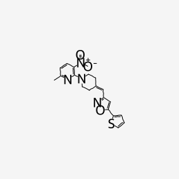 Cc1ccc([N+](=O)[O-])c(N2CCC(=Cc3cc(-c4cccs4)on3)CC2)n1